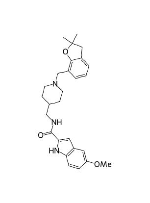 COc1ccc2[nH]c(C(=O)NCC3CCN(Cc4cccc5c4OC(C)(C)C5)CC3)cc2c1